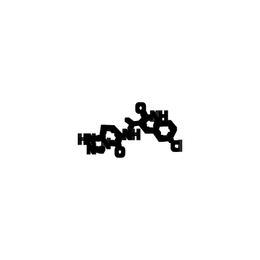 CC(Nc1ccc2[nH]ncn2c1=O)c1cc2cc(Cl)ccc2[nH]c1=O